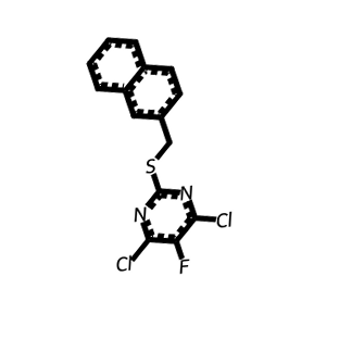 Fc1c(Cl)nc(SCc2ccc3ccccc3c2)nc1Cl